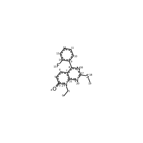 CCn1c(=O)ccc2c(-c3ccccc3F)nc(SC)nc21